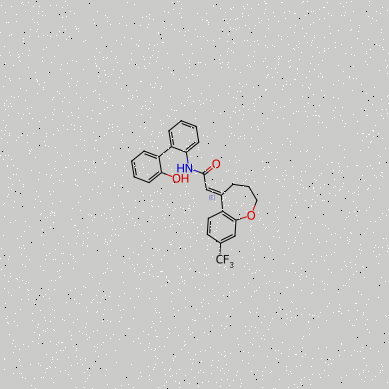 O=C(/C=C1\CCCOc2cc(C(F)(F)F)ccc21)Nc1ccccc1-c1ccccc1O